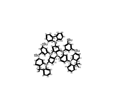 CC(C)(C)c1cc(N2c3cc(N4c5ccccc5C(C)(C)c5ccccc54)ccc3B3c4ccc(N5c6ccccc6C(C)(C)c6ccccc65)cc4N(c4cc(C(C)(C)C)cc(C(C)(C)C)c4)c4cc(-n5c6ccccc6c6ccccc65)cc2c43)cc(C(C)(C)C)c1